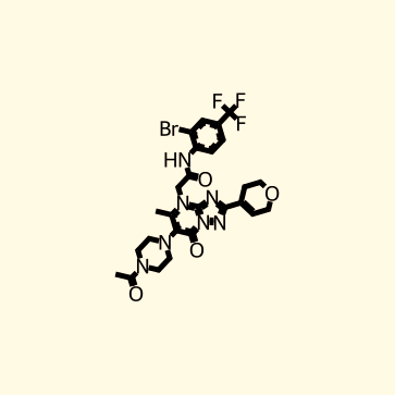 CC(=O)N1CCN(c2c(C)n(CC(=O)Nc3ccc(C(F)(F)F)cc3Br)c3nc(C4=CCOCC4)nn3c2=O)CC1